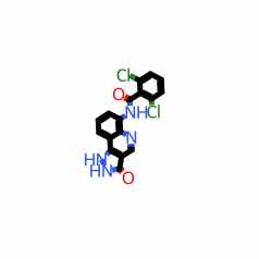 O=C(Nc1cccc2c1ncc1c(=O)[nH][nH]c12)c1c(Cl)cccc1Cl